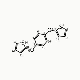 c1csc(Oc2ccc(Oc3cccs3)cc2)c1